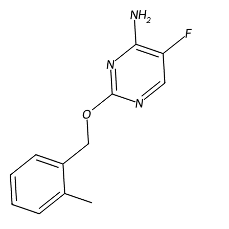 Cc1ccccc1COc1ncc(F)c(N)n1